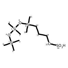 C[Si](C)(C)O[Si](C)(C)O[Si](C)(C)CCCOS(=O)(=O)O